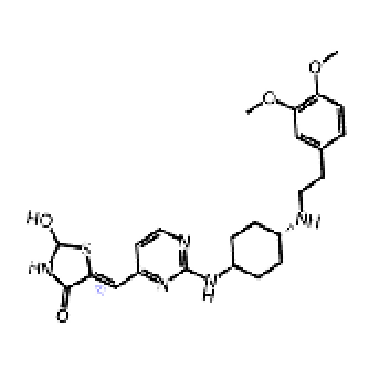 COc1ccc(CCN[C@H]2CC[C@H](Nc3nccc(/C=C4\SC(O)NC4=O)n3)CC2)cc1OC